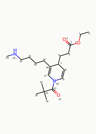 CCOC(=O)CCC1C=CN(C(=O)C(C)(C)C)C=C1CCCCNC